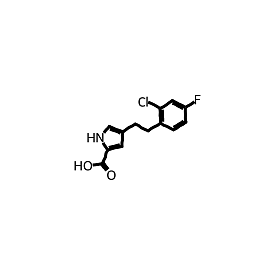 O=C(O)c1cc(CCc2ccc(F)cc2Cl)c[nH]1